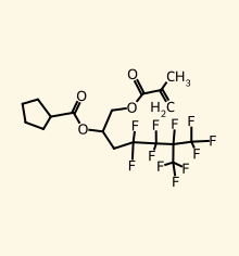 C=C(C)C(=O)OCC(CC(F)(F)C(F)(F)C(F)(C(F)(F)F)C(F)(F)F)OC(=O)C1CCCC1